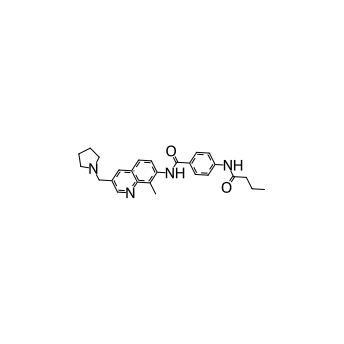 CCCC(=O)Nc1ccc(C(=O)Nc2ccc3cc(CN4CCCC4)cnc3c2C)cc1